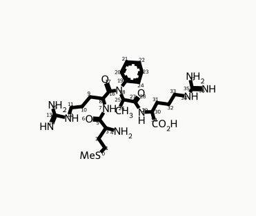 CSCCC(N)C(=O)NC(CCCNC(=N)N)C(=O)N(c1ccccc1)C(C)C(=O)NC(CCCNC(=N)N)C(=O)O